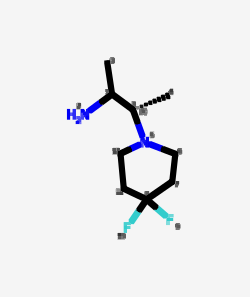 CC(N)[C@H](C)N1CCC(F)(F)CC1